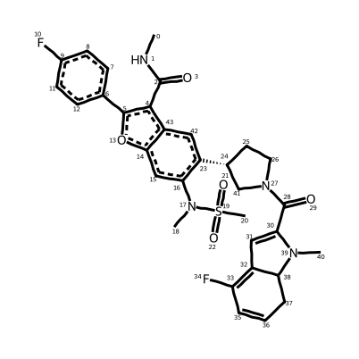 CNC(=O)c1c(-c2ccc(F)cc2)oc2cc(N(C)S(C)(=O)=O)c([C@@H]3CCN(C(=O)C4=CC5=C(F)C=CCC5N4C)C3)cc12